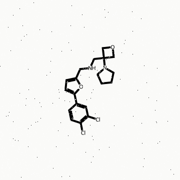 Clc1ccc(-c2ccc(CNCC3(N4CCCC4)COC3)o2)cc1Cl